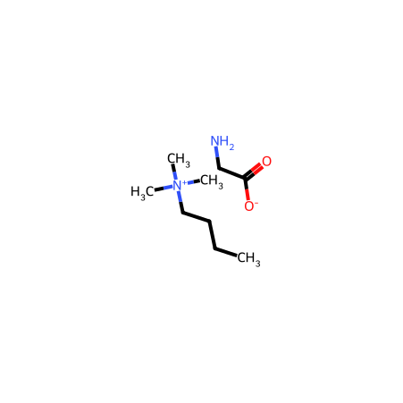 CCCC[N+](C)(C)C.NCC(=O)[O-]